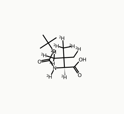 [2H]CC(C([2H])([2H])[2H])(C([2H])([2H])[2H])[C@@]([2H])(C(=O)O)N([2H])C(=O)OC(C)(C)C